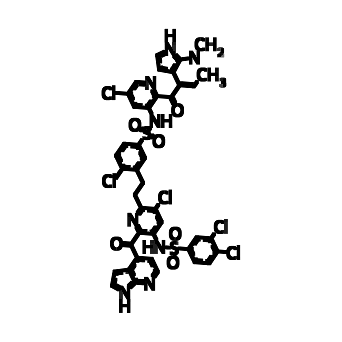 C=Nc1[nH]ccc1/C(=C\C)C(=O)c1ncc(Cl)cc1NS(=O)(=O)c1ccc(Cl)c(CCc2nc(C(=O)c3ccnc4[nH]ccc34)c(NS(=O)(=O)c3ccc(Cl)c(Cl)c3)cc2Cl)c1